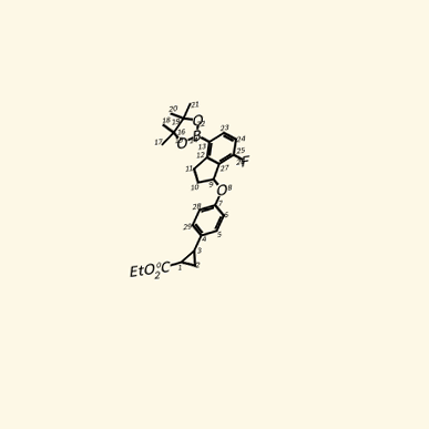 CCOC(=O)C1CC1c1ccc(OC2CCc3c(B4OC(C)(C)C(C)(C)O4)ccc(F)c32)cc1